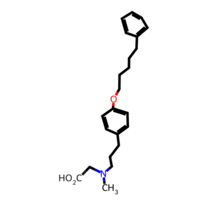 CN(CCCc1ccc(OCCCCCc2ccccc2)cc1)CC(=O)O